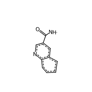 [NH]C(=O)c1cnc2ccccc2c1